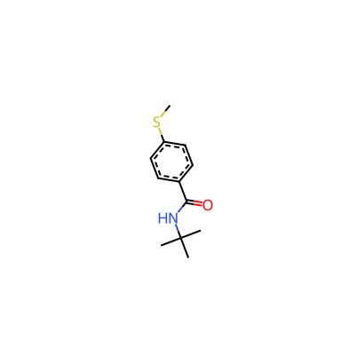 CSc1ccc(C(=O)NC(C)(C)C)cc1